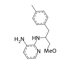 COCC(Cc1ccc(C)cc1)Nc1ncccc1N